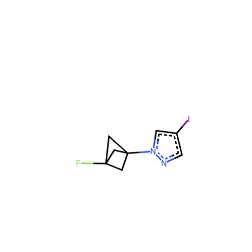 FC12CC(n3cc(I)cn3)(C1)C2